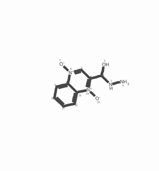 NNC(O)c1c[n+]([O-])c2ccccc2[n+]1[O-]